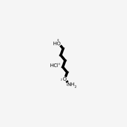 Cl.NOCCCCCO